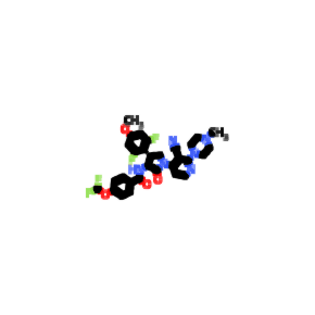 COc1cc(F)c([C@@H]2CN(c3ccnc(N4CCN(C)CC4)c3C#N)C(=O)C2NC(=O)c2ccc(OC(F)F)cc2)c(F)c1